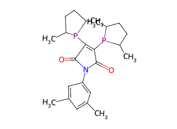 Cc1cc(C)cc(N2C(=O)C(P3C(C)CCC3C)=C(P3C(C)CCC3C)C2=O)c1